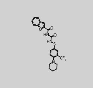 O=C(NSc1ccc(N2CCCCC2)c(C(F)(F)F)c1)NC(=O)c1cc2ccccc2o1